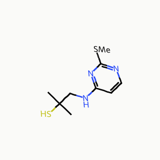 CSc1nccc(NCC(C)(C)S)n1